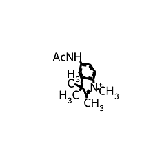 CC(=O)Nc1ccc2c(c1)C(C)(C)C(C)=[N+]2C